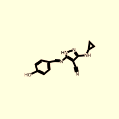 N#Cc1c(NC2CC2)n[nH]c1N=Cc1ccc(O)cc1